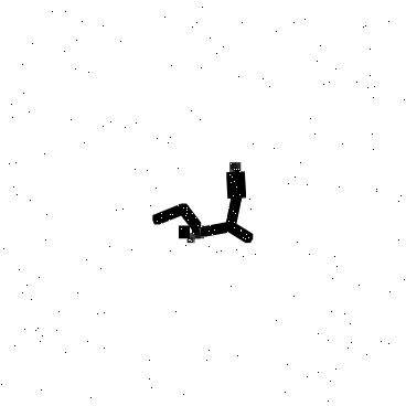 CC[SiH2]C(C)C#N